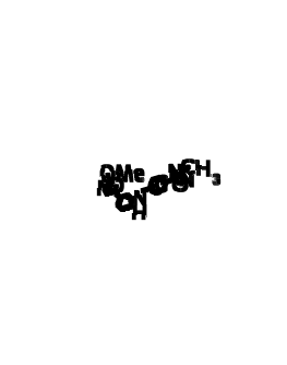 COc1ncc(-c2cccc(NCC34CCC(c5nc(C)no5)(CC3)CC4)c2)o1